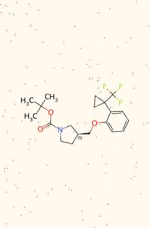 CC(C)(C)OC(=O)N1CC[C@H](COc2ccccc2C2(C(F)(F)F)CC2)C1